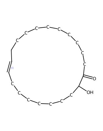 O=C1CCCCCCCCCC/C=C/CCCCCCCC1O